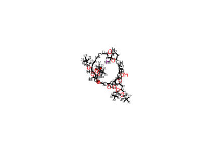 C=C1[C@H](C)CC2CC[C@@H]3OC(CCC/C=C/C(O[Si](C)(C)C(C)(C)C)[C@@H]4O[C@H]5CCC(CC(=O)C[C@H]6[C@H](C[C@H]1O)OC(C[C@@H](CO[Si](C)(C)C(C)(C)C)O[Si](C)(C)C(C)(C)C)[C@@H]6OC)O[C@@H]5C(O[Si](C)(C)C(C)(C)C)C4O[Si](C)(C)C(C)(C)C)CC3(CI)O2